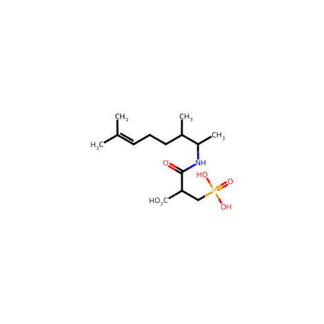 CC(C)=CCCC(C)C(C)NC(=O)C(CP(=O)(O)O)C(=O)O